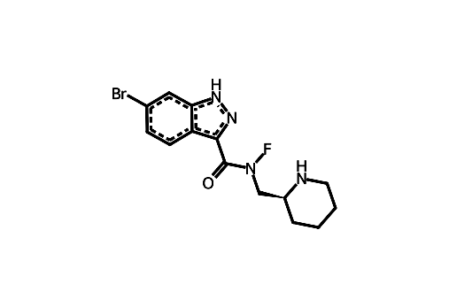 O=C(c1n[nH]c2cc(Br)ccc12)N(F)C[C@@H]1CCCCN1